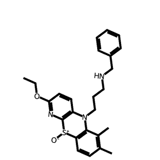 CCOc1ccc2c(n1)[S+]([O-])c1ccc(C)c(C)c1N2CCCNCc1ccccc1